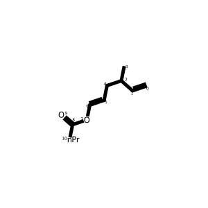 C=CC(C)C/C=C/OC(=O)CCC